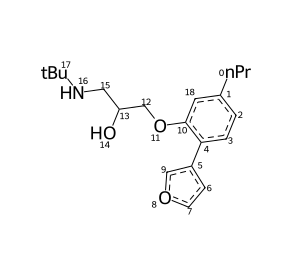 CCCc1ccc(-c2ccoc2)c(OCC(O)CNC(C)(C)C)c1